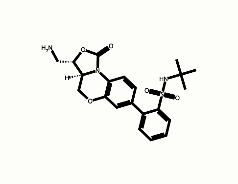 CC(C)(C)NS(=O)(=O)c1ccccc1-c1ccc2c(c1)OC[C@H]1[C@H](CN)OC(=O)N21